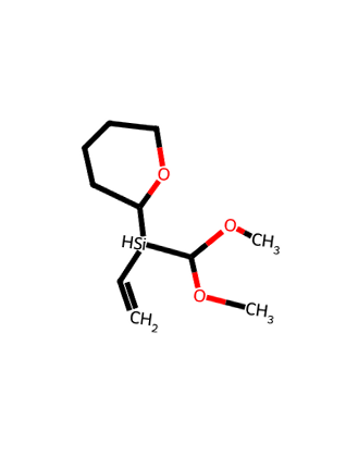 C=C[SiH](C1CCCCO1)C(OC)OC